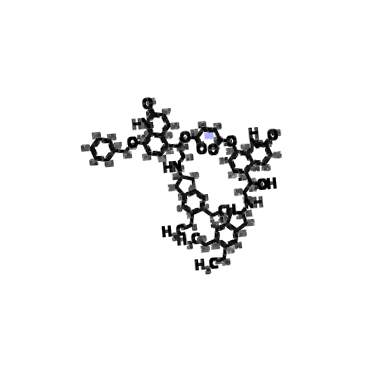 CCc1cc2c(cc1CC)CC(NC[C@H](OC(=O)/C=C\C(=O)Oc1ccc([C@@H](O)CNC3Cc4cc(CC)c(CC)cc4C3)c3ccc(=O)[nH]c13)c1ccc(OCc3ccccc3)c3[nH]c(=O)ccc13)C2